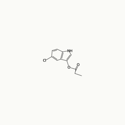 CCC(=O)Oc1c[nH]c2ccc(Cl)cc12